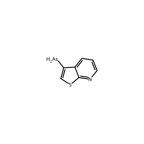 [AsH2]c1csc2ncccc12